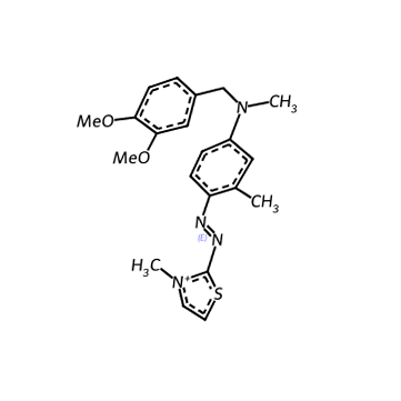 COc1ccc(CN(C)c2ccc(/N=N/c3scc[n+]3C)c(C)c2)cc1OC